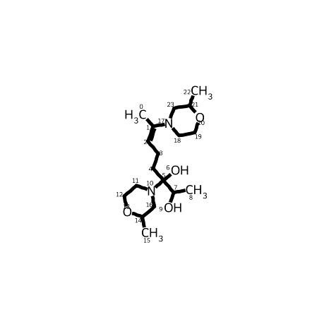 C/C(=C/CCC(O)(C(C)O)N1CCOC(C)C1)N1CCOC(C)C1